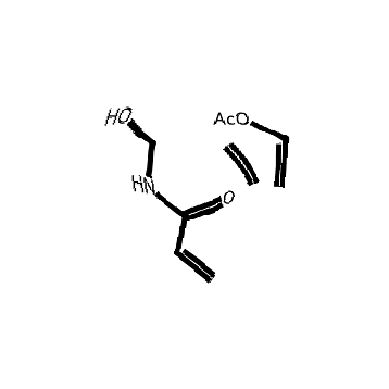 C=C.C=CC(=O)NCO.C=COC(C)=O